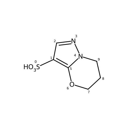 O=S(=O)(O)c1cnn2c1OCCC2